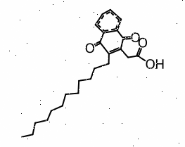 CCCCCCCCCCCCC1=C(CC(=O)O)C(=O)c2ccccc2C1=O